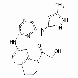 Cc1cc(Nc2cncc(Nc3ccc4c(c3)N(C(=O)CO)CCC4)n2)n[nH]1